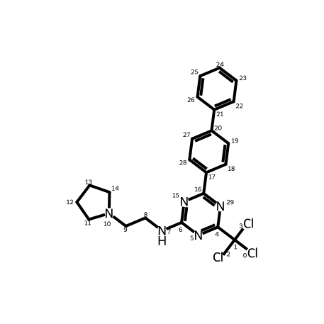 ClC(Cl)(Cl)c1nc(NCCN2CCCC2)nc(-c2ccc(-c3ccccc3)cc2)n1